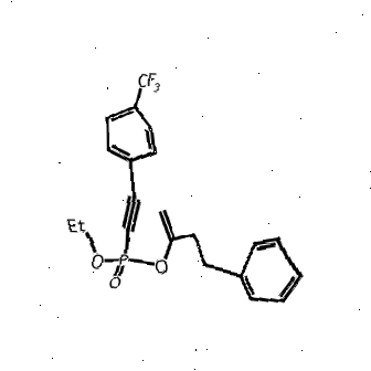 C=C(CCc1ccccc1)OP(=O)(C#Cc1ccc(C(F)(F)F)cc1)OCC